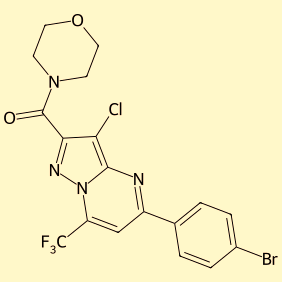 O=C(c1nn2c(C(F)(F)F)cc(-c3ccc(Br)cc3)nc2c1Cl)N1CCOCC1